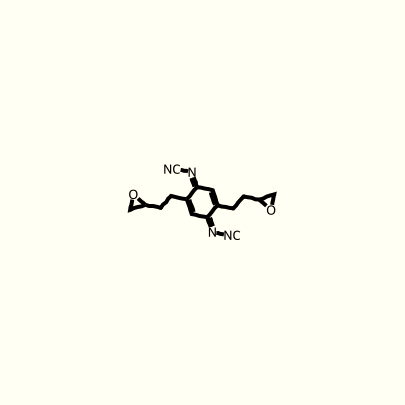 [C-]#[N+]/N=C1C=C(CCC2CO2)/C(=N\C#N)C=C/1CCC1CO1